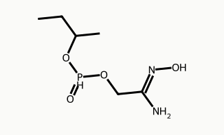 CCC(C)O[PH](=O)OCC(N)=NO